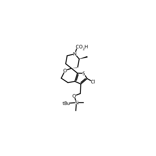 C[C@H]1C[C@@]2(CCN1C(=O)O)OCCc1c2sc(Cl)c1CO[Si](C)(C)C(C)(C)C